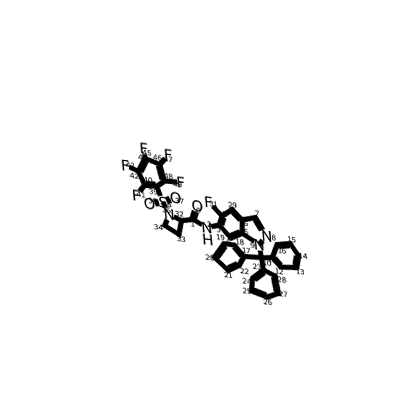 O=C(Nc1cc2c(cnn2C(c2ccccc2)(c2ccccc2)c2ccccc2)cc1F)C1CCN1S(=O)(=O)c1c(F)c(F)c(F)c(F)c1F